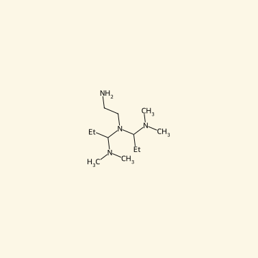 CCC(N(C)C)N(CCN)C(CC)N(C)C